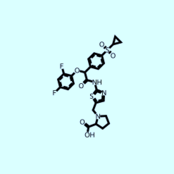 O=C(Nc1ncc(CN2CCCC2C(=O)O)s1)C(Oc1ccc(F)cc1F)c1ccc(S(=O)(=O)C2CC2)cc1